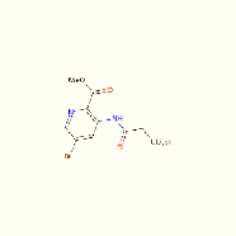 CCOC(=O)CC(=O)Nc1cc(Br)cnc1C(=O)OC